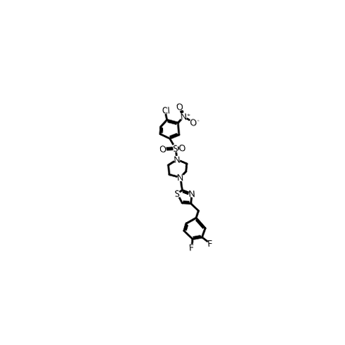 O=[N+]([O-])c1cc(S(=O)(=O)N2CCN(c3nc(Cc4ccc(F)c(F)c4)cs3)CC2)ccc1Cl